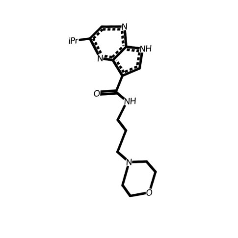 CC(C)c1cnc2[nH]cc(C(=O)NCCCN3CCOCC3)c2n1